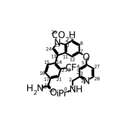 CC(C)NCc1cc(Oc2ccc3c(c2)c(-c2ccc(C(N)=O)cc2C(F)(F)F)cn3C(=O)O)ccn1